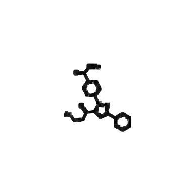 COC(=O)c1ccc(-n2nc(-c3ccccc3)cc2C(=O)/C=C\C(C)=O)cc1